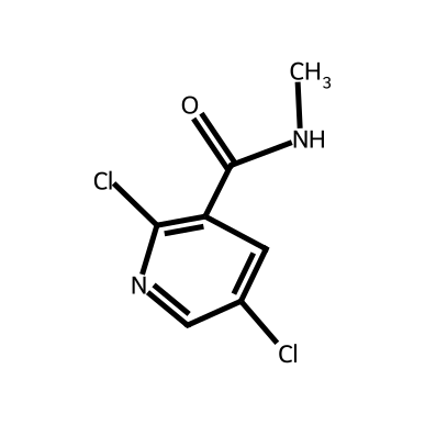 CNC(=O)c1cc(Cl)cnc1Cl